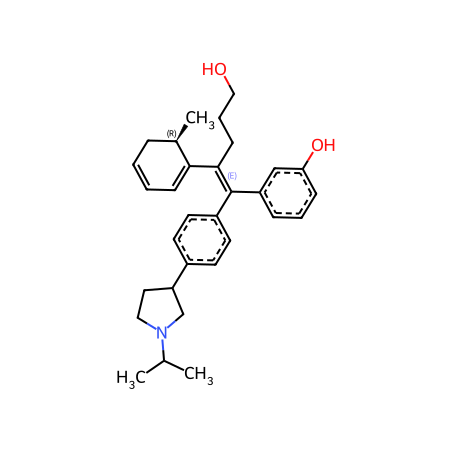 CC(C)N1CCC(c2ccc(/C(=C(/CCCO)C3=CC=CC[C@H]3C)c3cccc(O)c3)cc2)C1